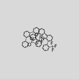 O=C1c2cccc(-n3c4c(-c5ccccc5C(F)(F)F)cccc4c4cccc(-c5ccccc5C(F)(F)F)c43)c2C(=O)N1c1c(-c2ccccc2)cccc1-c1ccccc1